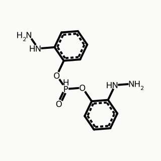 NNc1ccccc1O[PH](=O)Oc1ccccc1NN